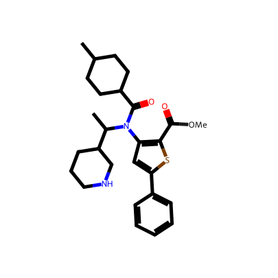 COC(=O)c1sc(-c2ccccc2)cc1N(C(=O)C1CCC(C)CC1)C(C)C1CCCNC1